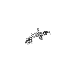 CC(=O)N(Cc1ccc(-c2ccc3c(c2)CC[C@H](C)N3C(C)=O)cc1)Cc1sc2c(N3CCOCC3)nc(-c3cnc(N)nc3)nc2c1C